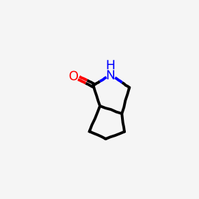 O=C1NCC2CCCC12